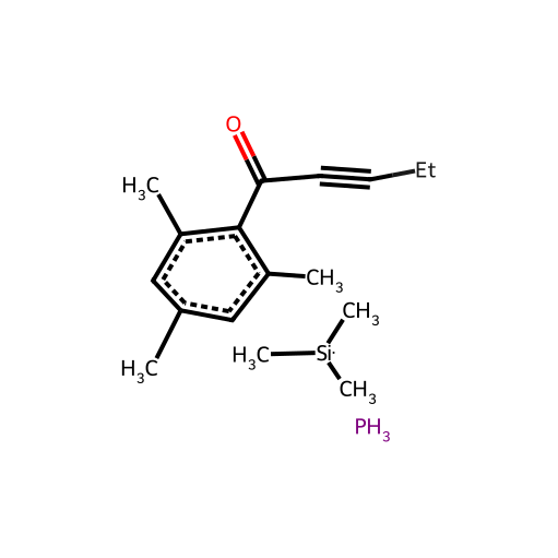 CCC#CC(=O)c1c(C)cc(C)cc1C.C[Si](C)C.P